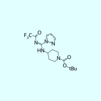 CC(C)(C)OC(=O)N1CCC(N/C(=N/C(=O)C(F)(F)F)n2cccn2)CC1